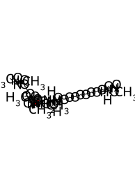 COc1cc2c(cc1OCCCCCOc1cc3c(cc1OC)C(=O)N1C=C(C)C[C@@]1(N)[C@H](N=O)N3C(=O)OCc1ccc(NC(=O)[C@H](C)NC(=O)CNC(=O)CCOCCOCCOCCOCCOCCOCCOCCOCCNC(=O)CCN3C(=O)CC(C)C3O)cc1)N=CC1CC(C)=CN1C2=O